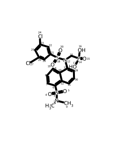 CN(C)S(=O)(=O)c1cccc2c(N(CP(=O)(O)O)S(=O)(=O)c3cc(Cl)cc(Cl)c3)cccc12